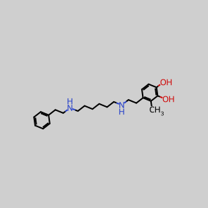 Cc1c(CCNCCCCCCNCCc2ccccc2)ccc(O)c1O